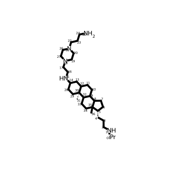 CC(C)NCCC[C@H]1CCC2C3CCC4CC(NCCN5CCN(CCCN)CC5)CC[C@]4(C)C3CCC21C